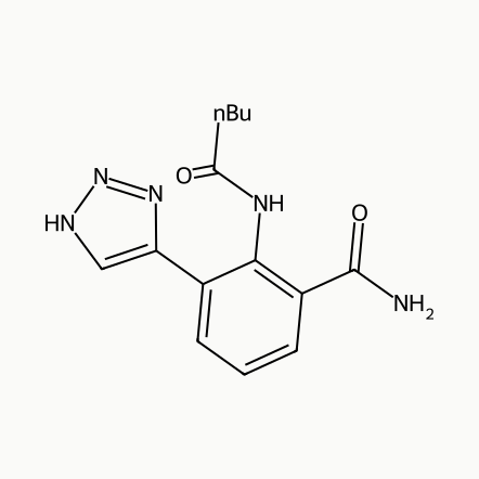 CCCCC(=O)Nc1c(C(N)=O)cccc1-c1c[nH]nn1